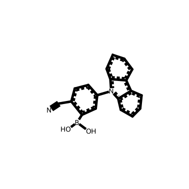 N#Cc1ccc(-n2c3ccccc3c3ccccc32)cc1B(O)O